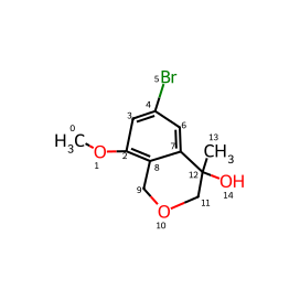 COc1cc(Br)cc2c1COCC2(C)O